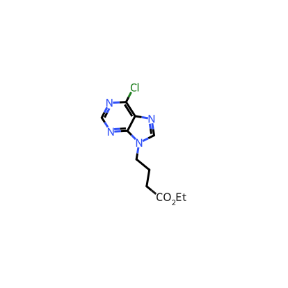 CCOC(=O)CCCn1cnc2c(Cl)ncnc21